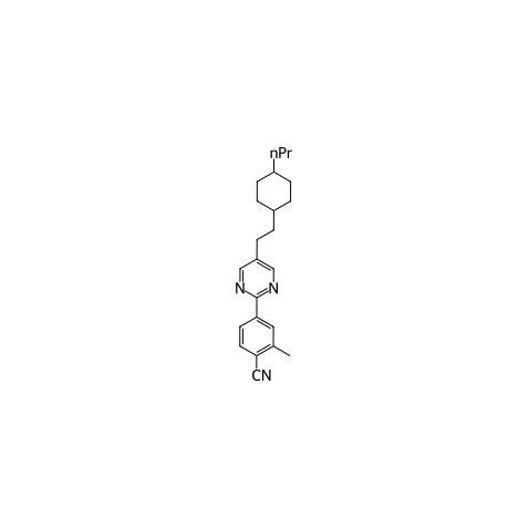 CCCC1CCC(CCc2cnc(-c3ccc(C#N)c(C)c3)nc2)CC1